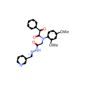 COc1ccc(N(CC(=O)N/N=C/c2cccnc2)C(=O)C(=O)c2ccccc2)c(OC)c1